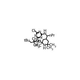 CCCC(Nc1nc(Cl)nc(NC(C)(C)CC(C)(C)C)n1)C1CC(C)(C)NC(C)(C)C1